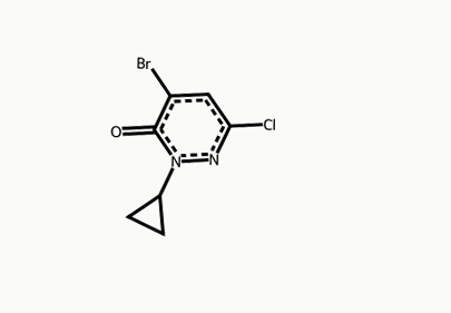 O=c1c(Br)cc(Cl)nn1C1CC1